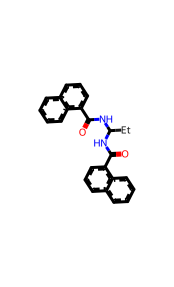 [CH2]CC(NC(=O)c1cccc2ccccc12)NC(=O)c1cccc2ccccc12